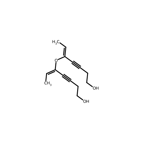 CC=C(C#CCCO)OC(C#CCCO)=CC